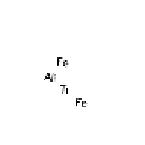 [Al].[Fe].[Fe].[Ti]